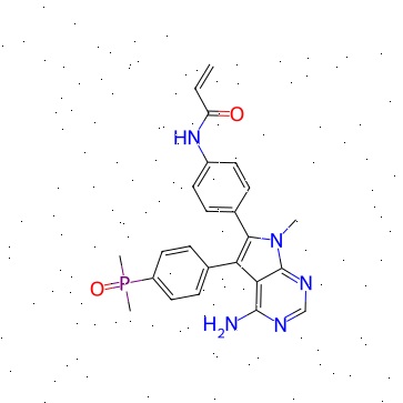 C=CC(=O)Nc1ccc(-c2c(-c3ccc(P(C)(C)=O)cc3)c3c(N)ncnc3n2C)cc1